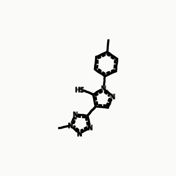 Cc1ccc(-n2ncc(-c3nnn(C)n3)c2S)cc1